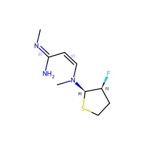 C/N=C(N)\C=C/N(C)[C@@H]1SCC[C@@H]1F